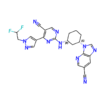 N#Cc1cnc2c(c1)ncn2[C@H]1CCC[C@@H](Nc2ncc(C#N)c(-c3cnn(CC(F)F)c3)n2)C1